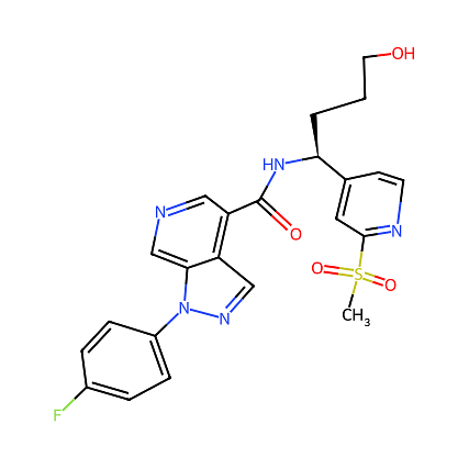 CS(=O)(=O)c1cc([C@H](CCCO)NC(=O)c2cncc3c2cnn3-c2ccc(F)cc2)ccn1